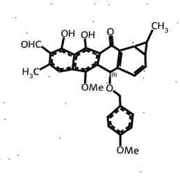 COc1ccc(CO[C@@H]2C3=C(C(=O)c4c2c(OC)c2cc(C)c(C=O)c(O)c2c4O)C2C(C)C2C=C3)cc1